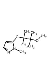 BOC(C)(C)C(C)(C)Oc1ccnn1C